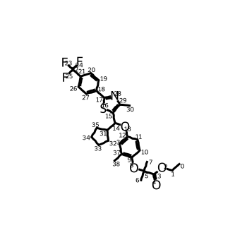 CCOC(=O)C(C)(C)Oc1ccc(OC(c2sc(-c3ccc(C(F)(F)F)cc3)nc2C)C2CCCC2)cc1C